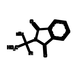 CCCCC(CC)(C(=O)O)N1C(=O)c2ccccc2C1=O